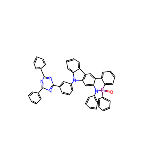 O=P1(c2ccccc2)c2ccccc2-c2cc3c4ccccc4n(-c4cccc(-c5nc(-c6ccccc6)nc(-c6ccccc6)n5)c4)c3cc2N1c1ccccc1